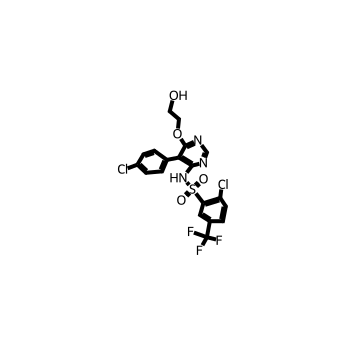 O=S(=O)(Nc1ncnc(OCCO)c1-c1ccc(Cl)cc1)c1cc(C(F)(F)F)ccc1Cl